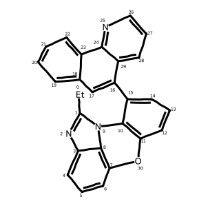 CCc1nc2cccc3c2n1-c1c(cccc1-c1cc2ccccc2c2ncccc12)O3